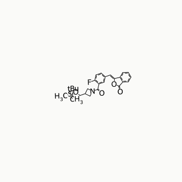 CC(C)(C)[Si](C)(C)OCC1CN(C(=O)c2cc(/C=C3\OC(=O)c4ccccc43)ccc2F)C1